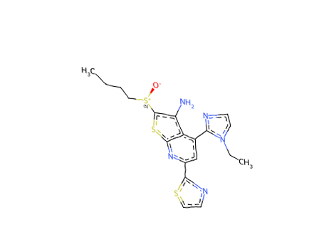 CCCC[S@@+]([O-])c1sc2nc(-c3nccs3)cc(-c3nccn3CC)c2c1N